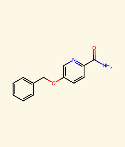 NC(=O)c1ccc(OCc2ccccc2)cn1